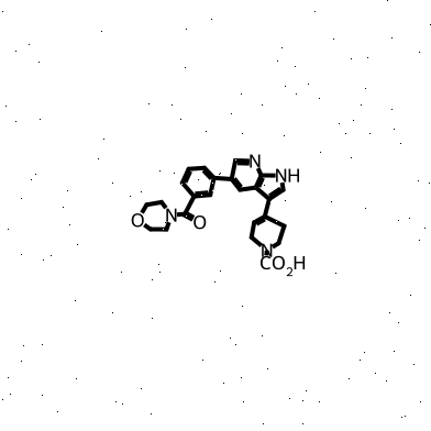 O=C(O)N1CC=C(c2c[nH]c3ncc(-c4cccc(C(=O)N5CCOCC5)c4)cc23)CC1